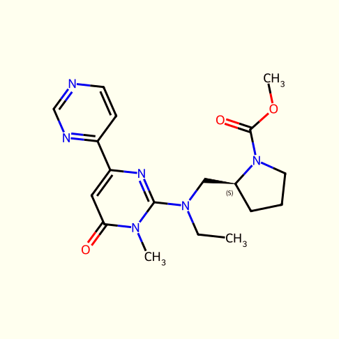 CCN(C[C@@H]1CCCN1C(=O)OC)c1nc(-c2ccncn2)cc(=O)n1C